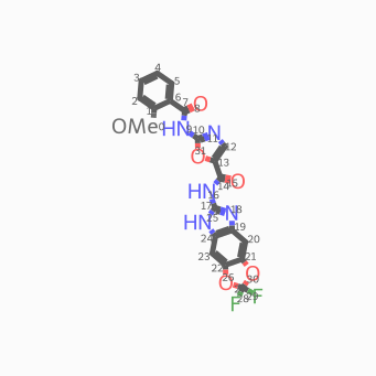 COc1ccccc1C(=O)Nc1ncc(C(=O)Nc2nc3cc4c(cc3[nH]2)OC(F)(F)O4)o1